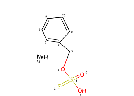 O=S(O)(=S)OCc1ccccc1.[NaH]